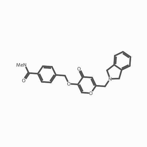 CNC(=O)c1ccc(COc2coc(CN3Cc4ccccc4C3)cc2=O)cc1